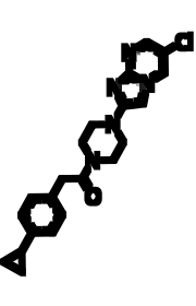 O=C(Cc1ccc(C2CC2)cc1)N1CCN(c2cn3cc(Cl)cnc3n2)CC1